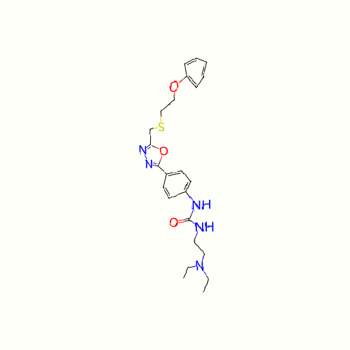 CCN(CC)CCNC(=O)Nc1ccc(-c2nnc(CSCCOc3ccccc3)o2)cc1